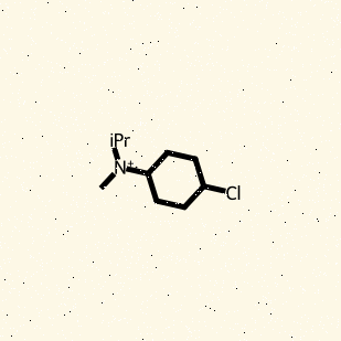 CC(C)[N+](C)C1CCC(Cl)CC1